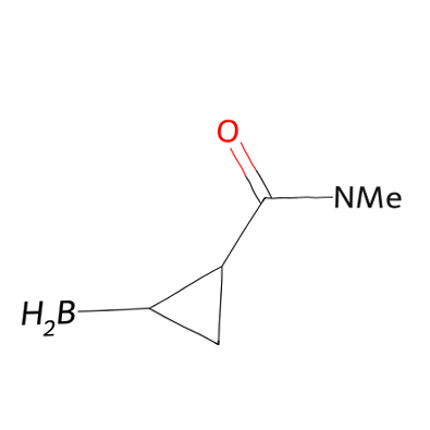 BC1CC1C(=O)NC